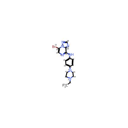 FC(F)(F)CN1CCN(c2ccc(Nc3ncc(Br)n4ncnc34)cc2)CC1